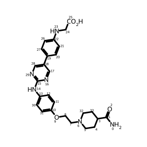 NC(=O)C1CCN(CCOc2ccc(Nc3ncc(-c4ccc(NCC(=O)O)cc4)cn3)cc2)CC1